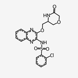 O=C1COCC(COc2nc3ccccc3nc2NS(=O)(=O)c2ccccc2Cl)N1